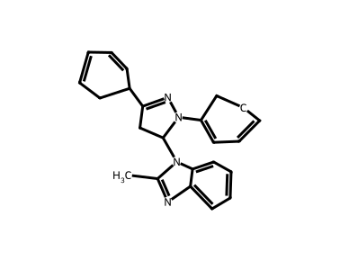 Cc1nc2ccccc2n1C1CC(C2C=CC=CC2)=NN1C1=CC=CCC1